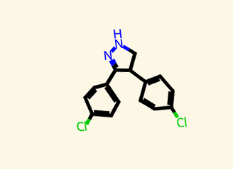 Clc1ccc(C2=NNCC2c2ccc(Cl)cc2)cc1